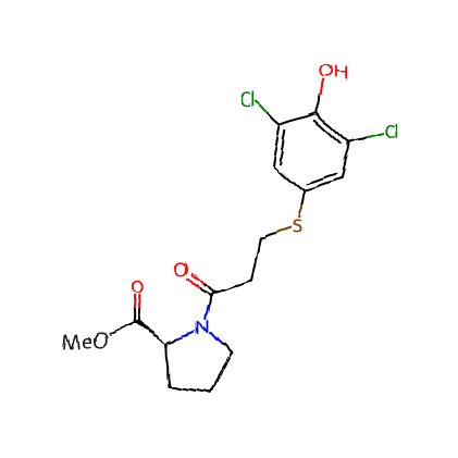 COC(=O)[C@@H]1CCCN1C(=O)CCSc1cc(Cl)c(O)c(Cl)c1